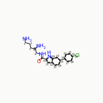 NCCC[C@@H](N)CNC(=O)c1cc2ccc(-c3ccc(Cl)cc3)cc2[nH]1